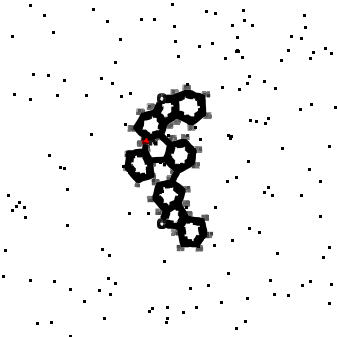 N#Cc1ccccc1-c1c(-c2ccc3oc4ccccc4c3c2)cccc1-c1cccc2oc3ccccc3c12